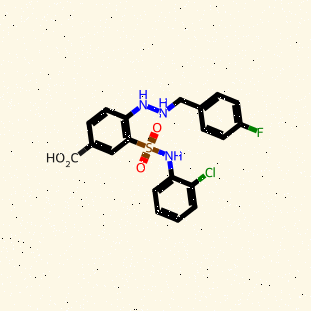 O=C(O)c1ccc(NNCc2ccc(F)cc2)c(S(=O)(=O)Nc2ccccc2Cl)c1